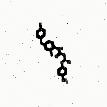 [CH2]C[C@@H](OC(=O)Nc1ccc(Cc2ccc(F)cc2)cc1F)Oc1ccc(C)cc1